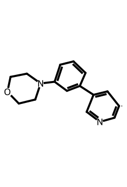 [c]1cncc(-c2cccc(N3CCOCC3)c2)c1